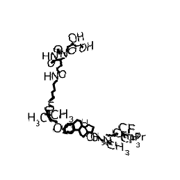 CCCC(OCCN(C)CCO[C@H]1CC[C@H]2C3CCc4cc(OCCC(C)(C)SSCCCCCCNC(=O)CCc5cn([C@H]6C[C@H](O)[C@@H](CO)O6)c(=O)[nH]c5=O)ccc4C3CC[C@]12C)(C(F)(F)F)C(F)(F)F